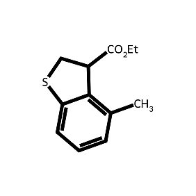 CCOC(=O)C1CSc2cccc(C)c21